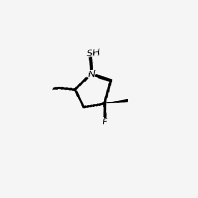 CC1C[C@@](C)(F)CN1S